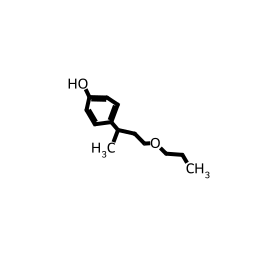 CCCOCCC(C)c1ccc(O)cc1